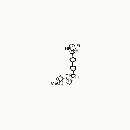 CCOC(=O)Nc1nc(-c2ccc(-c3ccc(-c4c[nH]c([C@@H]5CCCN5C(=O)[C@@H](NC(=O)OC)C(C)C)n4)cc3)cc2)c[nH]1